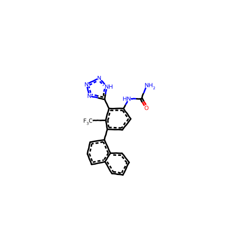 NC(=O)Nc1ccc(-c2cccc3ccccc23)c(C(F)(F)F)c1-c1nnn[nH]1